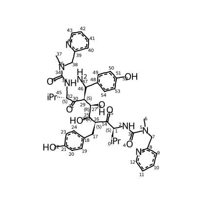 CC(C)[C@H](NC(=O)N(C)Cc1ccccn1)C(=O)[C@@H](Cc1ccc(O)cc1)[C@@H](O)[C@H](O)[C@@H](C(=O)[C@@H](NC(=O)N(C)Cc1ccccn1)C(C)C)C(N)c1ccc(O)cc1